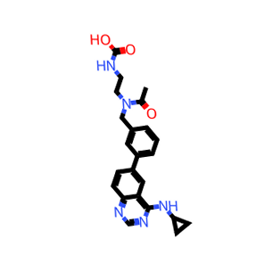 CC(=O)N(CCNC(=O)O)Cc1cccc(-c2ccc3ncnc(NC4CC4)c3c2)c1